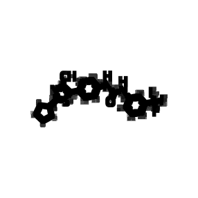 Cc1nc([C]2CCCC2)sc1-c1ccc(NC(=O)Nc2cccc(C(F)(F)F)c2)cc1